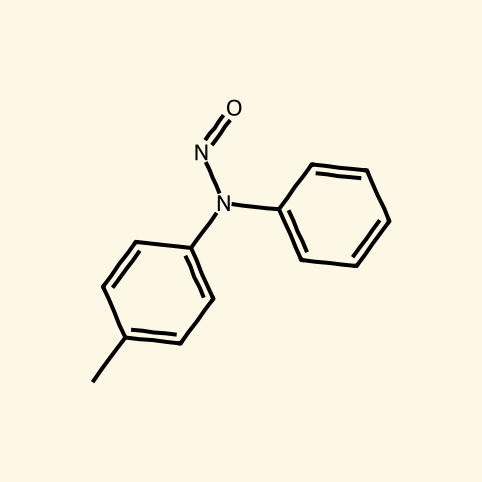 Cc1ccc(N(N=O)c2ccccc2)cc1